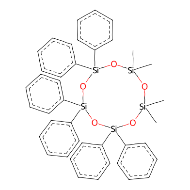 C[Si]1(C)O[Si](C)(C)O[Si](c2ccccc2)(c2ccccc2)O[Si](c2ccccc2)(c2ccccc2)O[Si](c2ccccc2)(c2ccccc2)O1